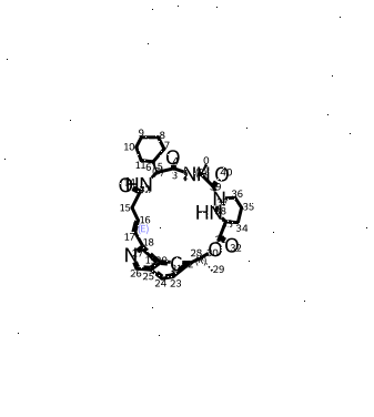 C[C@@H]1NC(=O)[C@H](C2CCCCC2)NC(=O)C/C=C/c2cc3cc(ccc3cn2)[C@@H](C)OC(=O)C2CCCN(N2)C1=O